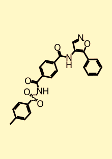 Cc1ccc(S(=O)(=O)NC(=O)c2ccc(C(=O)Nc3cnoc3-c3ccccc3)cc2)cc1